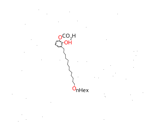 CCCCCCOCCCCCCCCCCCCCc1cccc(OC(=O)O)c1O